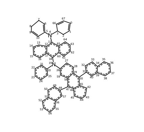 C1=CCC(N(C2=CCCC=C2)c2c3ccccc3c(N(c3ccccc3)c3ccc4c(-c5ccc6ccccc6c5)c5ccccc5c(-c5ccc6ccccc6c5)c4c3)c3ccccc23)C=C1